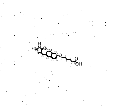 O=C(O)CCCCCOc1ccc2cc(CC3SC(=O)NC3=O)ccc2c1